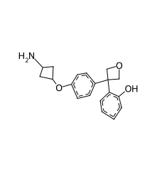 NC1CC(Oc2ccc(C3(c4ccccc4O)COC3)cc2)C1